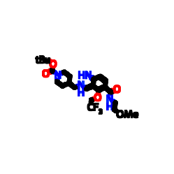 COCCNC(=O)C1=C(OCC(F)(F)F)/C(=C/NCC2CCN(C(=O)OC(C)(C)C)CC2)C(=N)C=C1